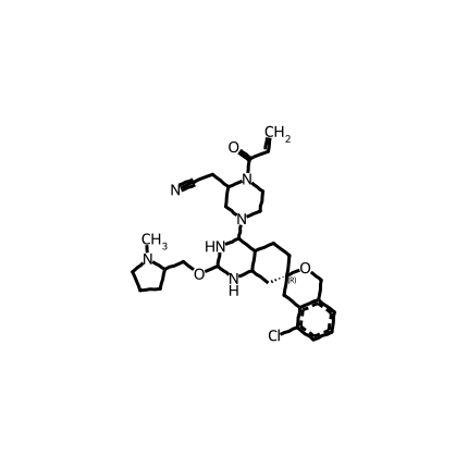 C=CC(=O)N1CCN(C2NC(OCC3CCCN3C)NC3C[C@@]4(CCC32)Cc2c(Cl)cccc2CO4)CC1CC#N